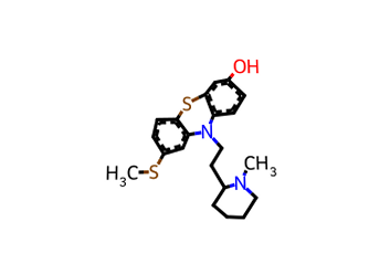 CSc1ccc2c(c1)N(CCC1CCCCN1C)c1ccc(O)cc1S2